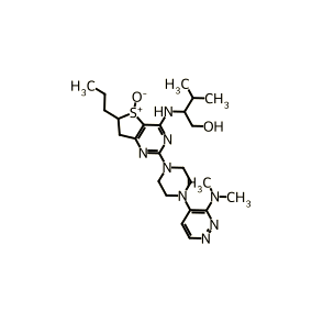 CCCC1Cc2nc(N3CCN(c4ccnnc4N(C)C)CC3)nc(NC(CO)C(C)C)c2[S+]1[O-]